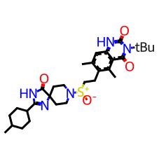 Cc1cc2[nH]c(=O)n(C(C)(C)C)c(=O)c2c(C)c1CC[S+]([O-])N1CCC2(CC1)N=C(C1CCC(C)CC1)NC2=O